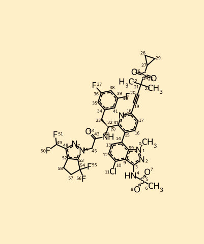 Cn1nc(NS(C)(=O)=O)c2c(Cl)ccc(-c3ccc(C#CC(C)(C)S(=O)(=O)C4CC4)nc3[C@H](Cc3cc(F)cc(F)c3)NC(=O)Cn3nc(C(F)F)c4c3C(F)(F)CC4)c21